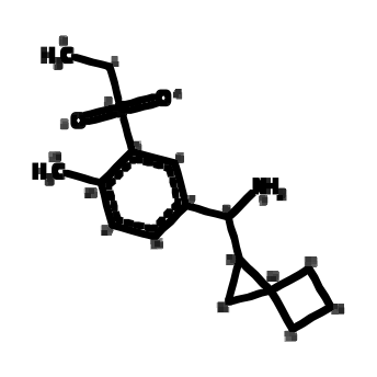 CCS(=O)(=O)c1cc(C(N)C2CC23CCC3)ccc1C